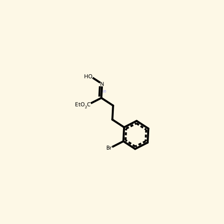 CCOC(=O)/C(CCc1ccccc1Br)=N\O